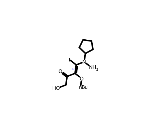 CCCCO/C(C(=O)CO)=C(/I)N(N)C1CCCC1